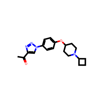 CC(=O)c1cn(-c2ccc(OC3CCN(C4CCC4)CC3)cc2)nn1